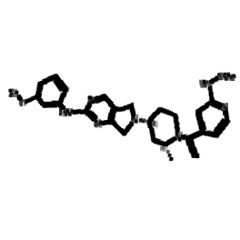 C=C(c1ccnc(NSC)c1)N1CC[C@@H](N2Cc3cnc(Nc4cccc(OCC)c4)nc3C2)C[C@H]1C